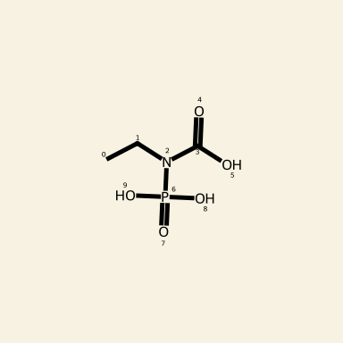 CCN(C(=O)O)P(=O)(O)O